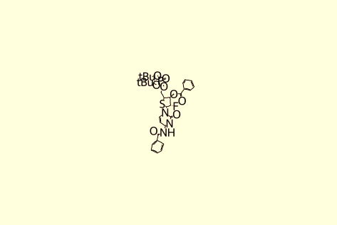 CC(C)(C)OP(=O)(OCC1S[C@@H](n2ccc(NC(=O)c3ccccc3)nc2=O)[C@@H](F)[C@@H]1OC(=O)c1ccccc1)OC(C)(C)C